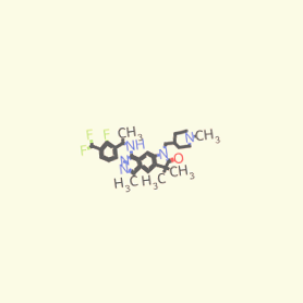 Cc1nnc(NC(C)c2cccc(C(F)F)c2F)c2cc3c(cc12)C(C)(C)C(=O)N3CC1CCN(C)CC1